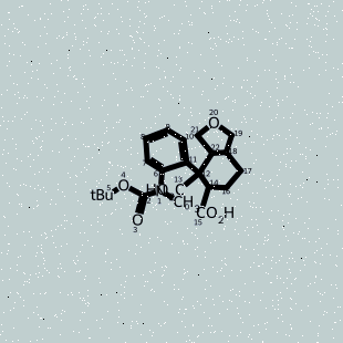 CN(C(=O)OC(C)(C)C)c1ccccc1C1(C(=O)O)C(C(=O)O)CCC2COCC21